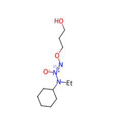 CCN(C1CCCCC1)/[N+]([O-])=N/OCCCO